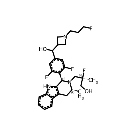 C[C@@H]1Cc2c([nH]c3ccccc23)[C@@H](c2c(F)cc(C(O)C3CN(CCCF)C3)cc2F)N1C[C@@](C)(F)CO